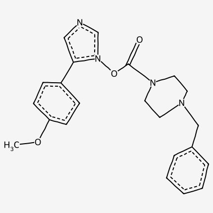 COc1ccc(-c2cncn2OC(=O)N2CCN(Cc3ccccc3)CC2)cc1